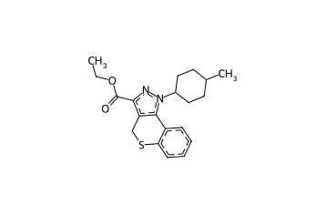 CCOC(=O)c1nn(C2CCC(C)CC2)c2c1CSc1ccccc1-2